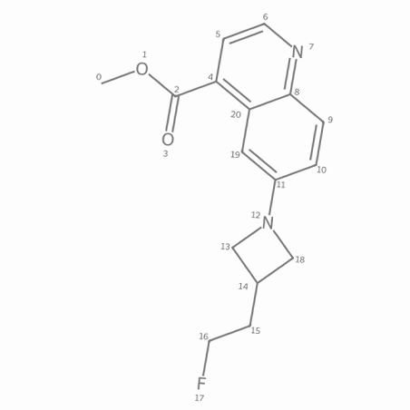 COC(=O)c1ccnc2ccc(N3CC(CCF)C3)cc12